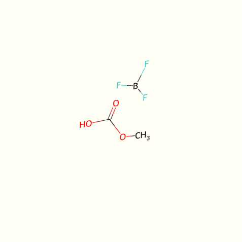 COC(=O)O.FB(F)F